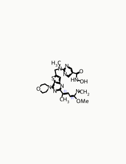 C=N/C(=C\C=C(/C)c1nc(N2CCOCC2)c2sc(CN(C)c3ncc(C(=O)NO)cn3)cc2n1)OC